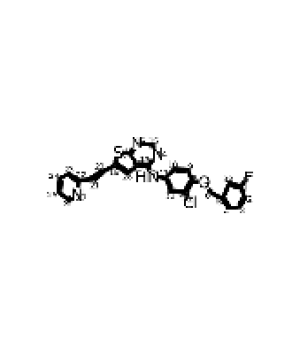 Fc1cccc(COc2ccc(Nc3ncnc4sc(C#Cc5ccccn5)cc34)cc2Cl)c1